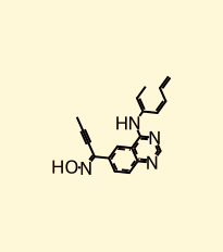 C=C/C=C\C(=C/C)Nc1ncnc2ccc(/C(C#CC)=N/O)cc12